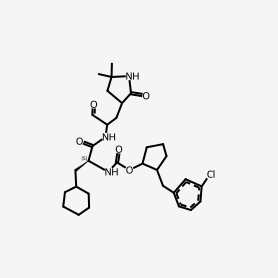 CC1(C)CC(CC(C=O)NC(=O)[C@H](CC2CCCCC2)NC(=O)OC2CCCC2Cc2cccc(Cl)c2)C(=O)N1